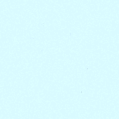 COc1ccc(-c2cc(C(O)CC(C)C)c(C)s2)cn1